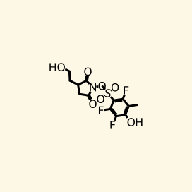 Cc1c(O)c(F)c(F)c(S(=O)(=O)ON2C(=O)CC(CCO)C2=O)c1F